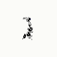 Cc1cc(F)ccc1Oc1cc(C(F)(F)F)c(Cl)cc1C(=O)Nc1cnn(COC(=O)/C=C\C(=O)O)c(=O)c1